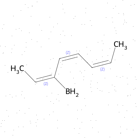 BC(/C=C\C=C/C)=C/C